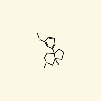 COc1cccc([C@@]23CCC[C@@H]2CN(C)CC3)c1